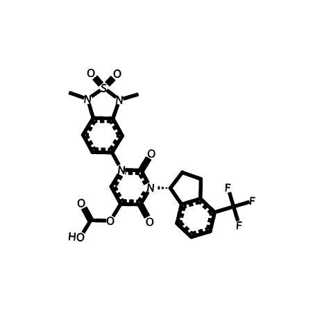 CN1c2ccc(-n3cc(OC(=O)O)c(=O)n([C@@H]4CCc5c4cccc5C(F)(F)F)c3=O)cc2N(C)S1(=O)=O